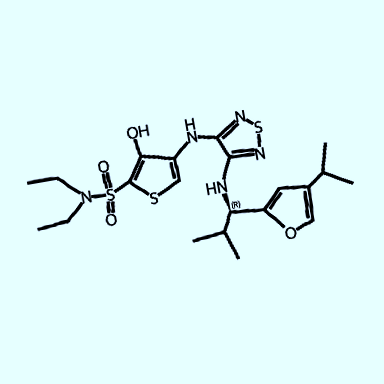 CCN(CC)S(=O)(=O)c1scc(Nc2nsnc2N[C@@H](c2cc(C(C)C)co2)C(C)C)c1O